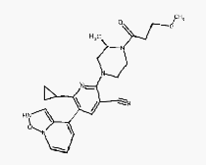 COCCC(=O)N1CCN(c2nc(C3CC3)c(C3=CC=CN4ONC=C34)cc2C#N)C[C@H]1C